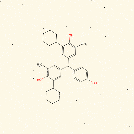 Cc1cc(C(c2ccc(O)cc2)c2cc(C)c(O)c(C3CCCCC3)c2)cc(C2CCCCC2)c1O